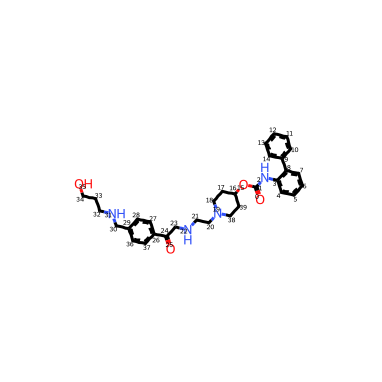 O=C(Nc1ccccc1-c1ccccc1)OC1CCN(CCNCC(=O)c2ccc(CNCCCO)cc2)CC1